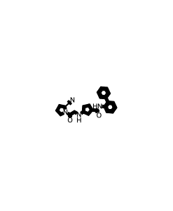 N#C[C@@H]1CCCN1C(=O)CNC1CCC(C(=O)Nc2ccccc2-c2ccccc2)C1